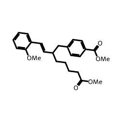 COC(=O)CCCCC(C=Cc1ccccc1OC)Cc1ccc(C(=O)OC)cc1